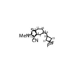 CNc1sc2c(c1C#N)CN(CC1CC(F)(F)C1)CC2